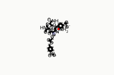 NC(=O)C(O[C@@H]1NC(=O)[C@H]1NC(=O)/C(=N\OCC(=O)OCc1ccc([N+](=O)[O-])cc1)c1csc(N)n1)C(=O)OCc1ccc([N+](=O)[O-])cc1